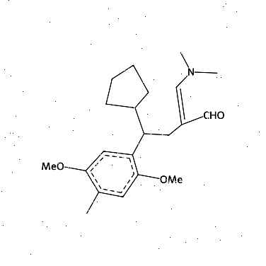 COc1cc(C(CC(C=O)=CN(C)C)C2CCCC2)c(OC)cc1C